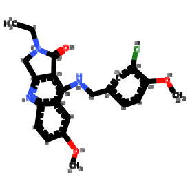 CCN1Cc2nc3ccc(OC)cc3c(NCc3ccc(OC)c(Cl)c3)c2C1=O